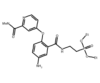 CCOP(=O)(CCNC(=O)c1cc(N)ccc1Oc1ccnc(C(=O)NC)c1)OCC